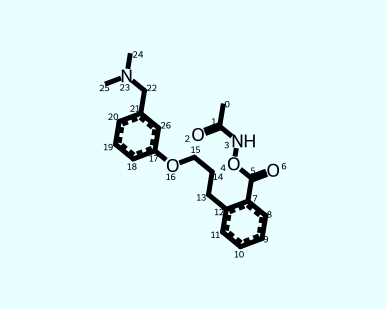 CC(=O)NOC(=O)c1ccccc1CCCOc1cccc(CN(C)C)c1